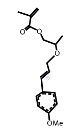 C=C(C)C(=O)OCC(C)OC/C=C/c1ccc(OC)cc1